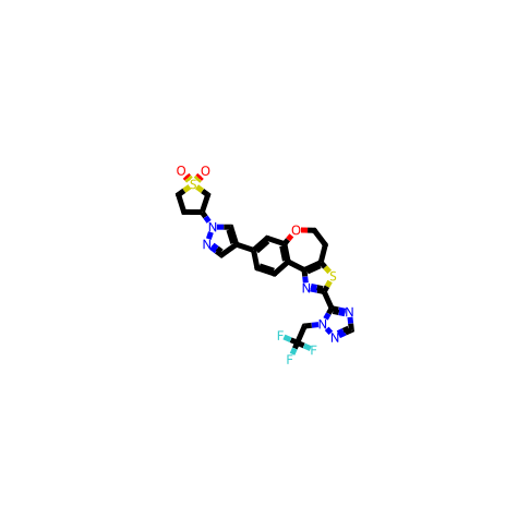 O=S1(=O)CCC(n2cc(-c3ccc4c(c3)OCCc3sc(-c5ncnn5CC(F)(F)F)nc3-4)cn2)C1